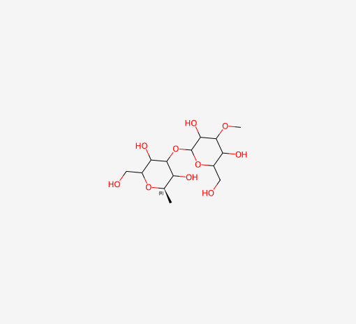 COC1C(O)C(CO)OC(OC2C(O)C(CO)O[C@H](C)C2O)C1O